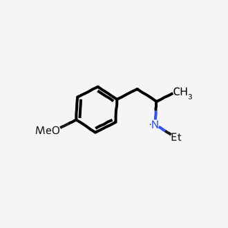 CC[N]C(C)Cc1ccc(OC)cc1